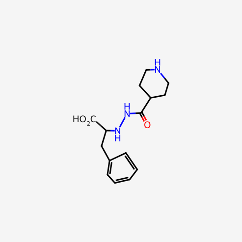 O=C(NNC(Cc1ccccc1)C(=O)O)C1CCNCC1